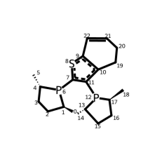 C[C@H]1CC[C@H](C)P1c1sc2c(c1P1[C@@H](C)CC[C@@H]1C)CCC=C2